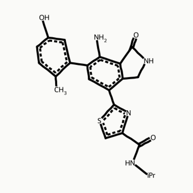 Cc1ccc(O)cc1-c1cc(-c2nc(C(=O)NC(C)C)cs2)c2c(c1N)C(=O)NC2